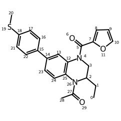 CCC1CN(C(=O)c2ccco2)c2cc(-c3ccc(SC)cc3)ccc2N1C(C)=O